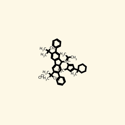 C[C](C)=[Zr+2]([C]1=CC(C2(C)CCCCC2)=CC1C)[CH]1c2cc(-c3ccccc3)c(C(C)(C)C)cc2-c2cc(C(C)(C)C)c(-c3ccccc3)cc21.[Cl-].[Cl-]